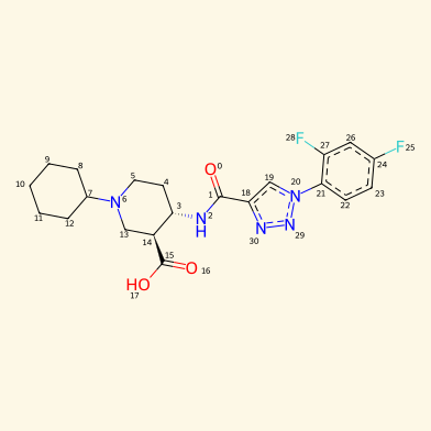 O=C(N[C@H]1CCN(C2CCCCC2)C[C@@H]1C(=O)O)c1cn(-c2ccc(F)cc2F)nn1